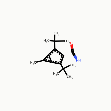 Cc1c2c(C(C)(C)C)cc(C(C)(C)C)c1-2.N=C=O